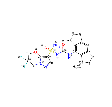 C[C@H]1CCc2cc3c(c(NC(=O)N=S(N)(=O)c4cnn5c4OCC(F)(F)C5)c21)CCC3